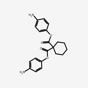 Nc1ccc(OC(=O)C2(C(=O)Oc3ccc(N)cc3)CC[CH]CC2)cc1